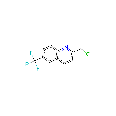 FC(F)(F)c1ccc2nc(CCl)ccc2c1